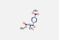 CCCCOC(=O)N1CCN(C(=O)C(C)NC(=O)OC(C)(C)C)CC1